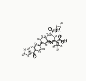 CCCNC(=O)C1=Cc2ccc(-c3ccc(C(=O)N4CCCC4)cc3)cc2N=C(N(C(=O)O)C(C)(C)C)C1